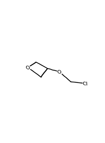 ClCOC1COC1